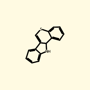 C1=C2c3ccccc3NC2c2ccccc2S1